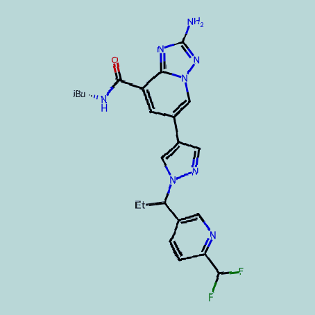 CCC(c1ccc(C(F)F)nc1)n1cc(-c2cc(C(=O)N[C@@H](C)CC)c3nc(N)nn3c2)cn1